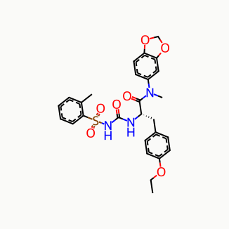 CCOc1ccc(C[C@H](NC(=O)NS(=O)(=O)c2ccccc2C)C(=O)N(C)c2ccc3c(c2)OCO3)cc1